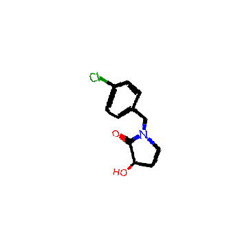 O=C1C(O)CCN1Cc1ccc(Cl)cc1